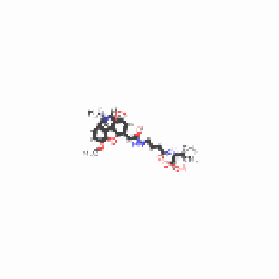 COc1ccc2c3c1OC1C(CC(=O)NCCCC(=O)NC(C(=O)O)C(C)C)=CC[C@@]4(O)[C@@H](C2)N(C)CC[C@]314